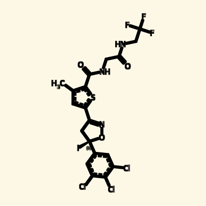 Cc1cc(C2=NO[C@](I)(c3cc(Cl)c(Cl)c(Cl)c3)C2)sc1C(=O)NCC(=O)NCC(F)(F)F